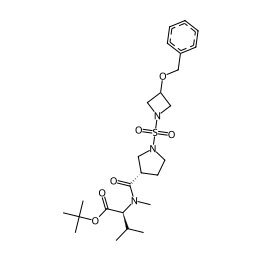 CC(C)[C@@H](C(=O)OC(C)(C)C)N(C)C(=O)[C@H]1CCN(S(=O)(=O)N2CC(OCc3ccccc3)C2)C1